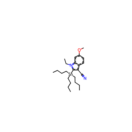 CCC[CH2][Sn]([CH2]CCC)([CH2]CCC)[c]1c(C#N)c2ccc(OC)cc2n1CC